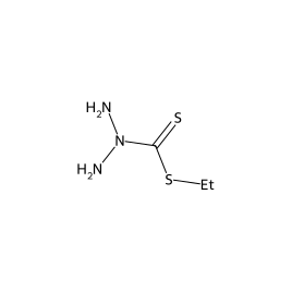 [CH2]CSC(=S)N(N)N